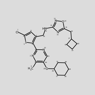 Cc1nc(-c2sc(Cl)cc2CNc2noc(CC3CCC3)n2)ncc1OC1CCCCC1